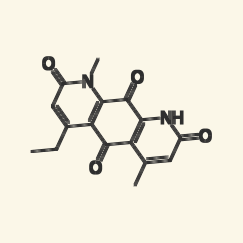 CCc1cc(=O)n(C)c2c1C(=O)c1c(C)cc(=O)[nH]c1C2=O